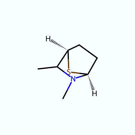 CC1[C@H]2CC[C@H](S2)N1C